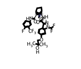 CC(C)(O)COc1ccc2c(C(=O)N[C@@H]3C4CCC(/C4=C/C(F)(F)F)[C@@H]3C(=O)Nc3ccc(F)c(C(F)(F)F)c3)nn(C(F)F)c2c1